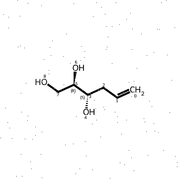 C=CC[C@H](O)[C@H](O)CO